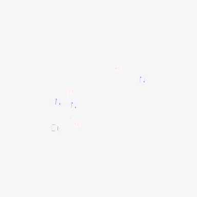 CCc1cn(C)c(OCCc2ccc(Oc3ccc(C)nc3)cc2)nc1=O